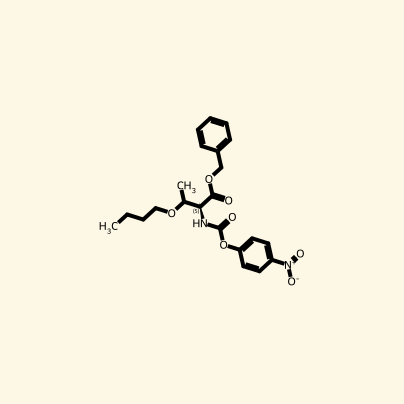 CCCCOC(C)[C@H](NC(=O)Oc1ccc([N+](=O)[O-])cc1)C(=O)OCc1ccccc1